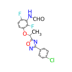 CC(Oc1ccc(F)c(NC=O)c1F)c1nc(-c2ccc(Cl)cc2)no1